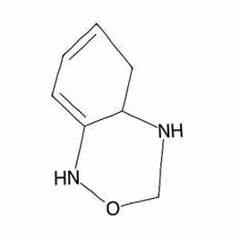 C1=CCC2NCONC2=C1